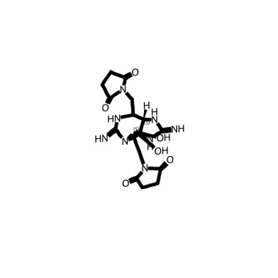 N=C1N[C@H]2C(CN3C(=O)CCC3=O)NC(=N)N3CC(N4C(=O)CCC4=O)C(O)(O)[C@]23N1